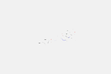 C#Cc1ccc(S(=O)(=O)N2CCC(n3ncc(N(C)[C@H]4COCCC4(F)F)c(Cl)c3=O)CC2)cc1